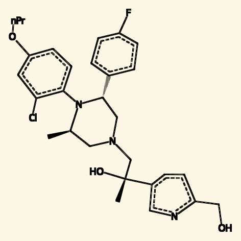 CCCOc1ccc(N2[C@H](C)CN(C[C@@](C)(O)c3ccc(CO)nc3)C[C@H]2c2ccc(F)cc2)c(Cl)c1